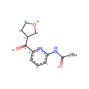 CC(C)(C)C(=O)Nc1cccc(C(=O)C2CCOC2)n1